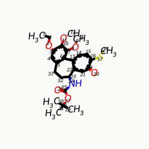 CCOc1cc2c(c(OC)c1OC)-c1ccc(SC)c(=O)cc1C(NC(=O)OC(C)(C)C)CC2